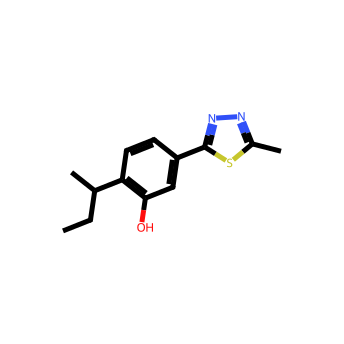 CCC(C)c1ccc(-c2nnc(C)s2)cc1O